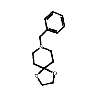 c1ccc(CN2CCC3(CC2)OCCO3)cc1